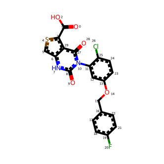 O=C(O)c1scc2[nH]c(=O)n(-c3cc(OCc4ccc(F)cc4)ccc3Cl)c(=O)c12